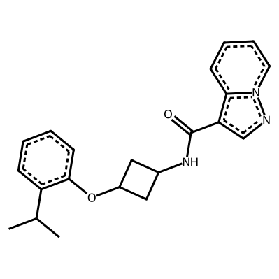 CC(C)c1ccccc1OC1CC(NC(=O)c2cnn3ccccc23)C1